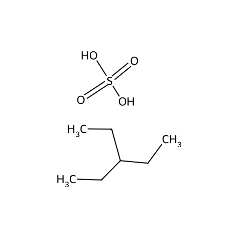 CCC(CC)CC.O=S(=O)(O)O